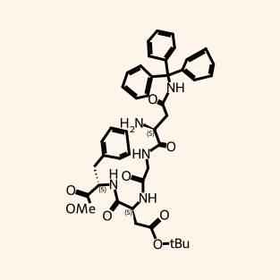 COC(=O)[C@H](Cc1ccccc1)NC(=O)[C@H](CC(=O)OC(C)(C)C)NC(=O)CNC(=O)[C@@H](N)CC(=O)NC(c1ccccc1)(c1ccccc1)c1ccccc1